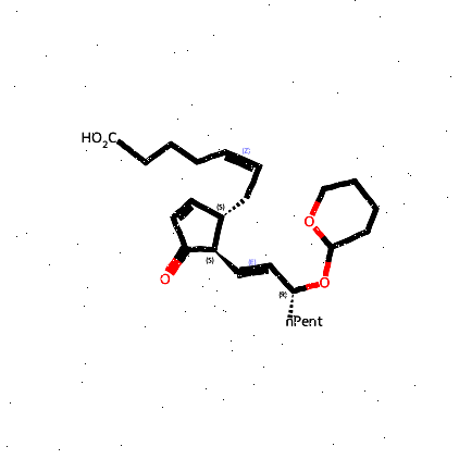 CCCCC[C@H](/C=C/[C@H]1C(=O)C=C[C@@H]1C/C=C\CCCC(=O)O)OC1CCCCO1